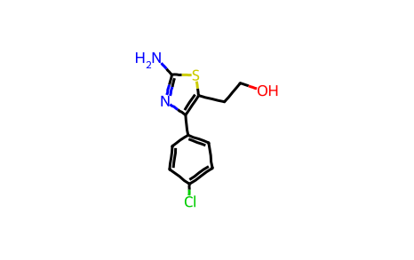 Nc1nc(-c2ccc(Cl)cc2)c(CCO)s1